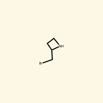 BrCC1CCN1